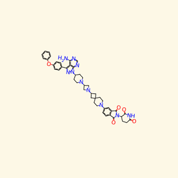 Nc1ncnc2c1c(-c1ccc(Oc3ccccc3)cc1)nn2C1CCN(C2CN(C3CC4(CCN(c5ccc6c(c5)C(=O)N(C5CCC(=O)NC5=O)C6=O)CC4)C3)C2)CC1